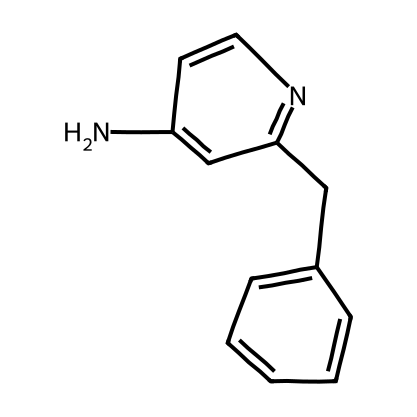 Nc1ccnc(Cc2ccccc2)c1